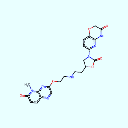 Cn1c(=O)ccc2ncc(OCCNCCC3CN(c4ccc5c(n4)NC(=O)CO5)C(=O)O3)nc21